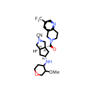 COC1COCCC1N[C@@H]1C[C@H]2CN(C#N)C[C@@]2(C(=O)N2CCc3ncc(C(F)(F)F)cc3C2)C1